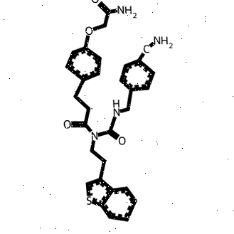 NCc1ccc(CNC(=O)N(CCc2csc3ccccc23)C(=O)[CH]Cc2ccc(OCC(N)=O)cc2)cc1